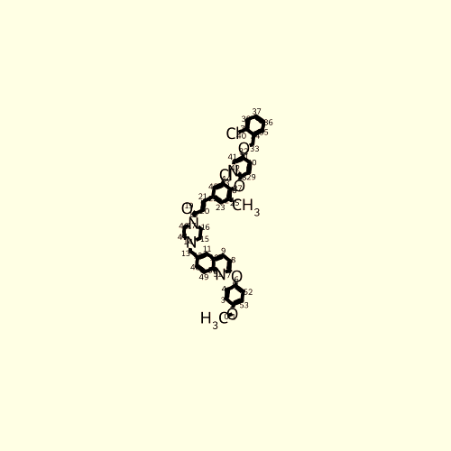 COc1ccc(Oc2ccc3cc(CN4CCN(C(=O)/C=C/c5cc(C)c(Oc6ccc(OCc7ccccc7Cl)cn6)c(Cl)c5)CC4)ccc3n2)cc1